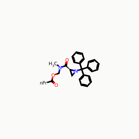 CCCC(=O)OCN(C)C(=O)[C@@H]1CN1C(c1ccccc1)(c1ccccc1)c1ccccc1